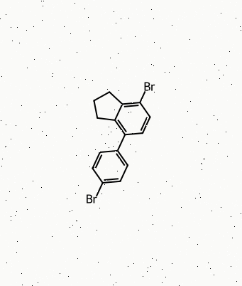 Brc1ccc(-c2ccc(Br)c3c2CCC3)cc1